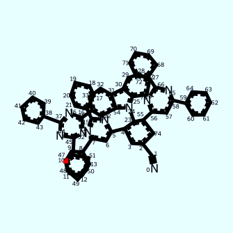 N#Cc1cc(-c2cc(-c3ccccc3)nc(-c3ccccc3)n2)c(-n2c3ccccc3c3ccc(-c4nc(-c5ccccc5)nc(-c5ccccc5)n4)cc32)c(-c2cc(-c3ccccc3)nc(-c3ccccc3)n2)c1